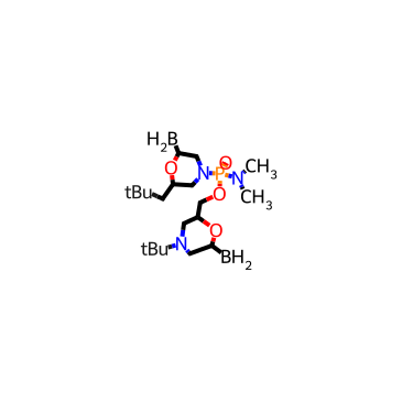 BC1CN(C(C)(C)C)CC(COP(=O)(N(C)C)N2CC(B)OC(CC(C)(C)C)C2)O1